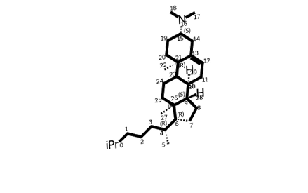 CC(C)CCC[C@@H](C)[C@H]1CC[C@H]2[C@@H]3CC=C4C[C@@H](N(C)C)CC[C@]4(C)C3CC[C@]12C